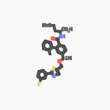 CSCC[C@H](NC(=O)c1ccc(COCc2cnc(-c3cccc(F)c3)s2)cc1-c1ccccc1C)C(=O)O.[LiH]